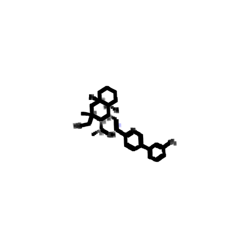 C[C@@H](O)[C@H]1[C@@H](/C=C/c2ccc(-c3cccc(C(F)(F)F)c3)cn2)[C@@H]2CCCC[C@H]2C[C@@]1(C)CO